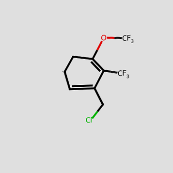 FC(F)(F)OC1=C(C(F)(F)F)C(CCl)=C[CH]C1